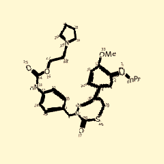 CCCOc1cc(C2=NN(Cc3ccc(NC(=O)OCCN4CCCC4)cc3)C(=O)SC2)ccc1OC